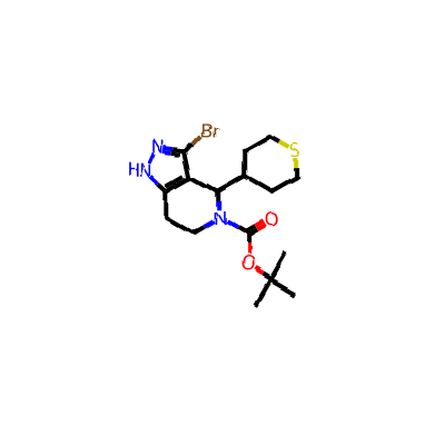 CC(C)(C)OC(=O)N1CCc2[nH]nc(Br)c2C1C1CCSCC1